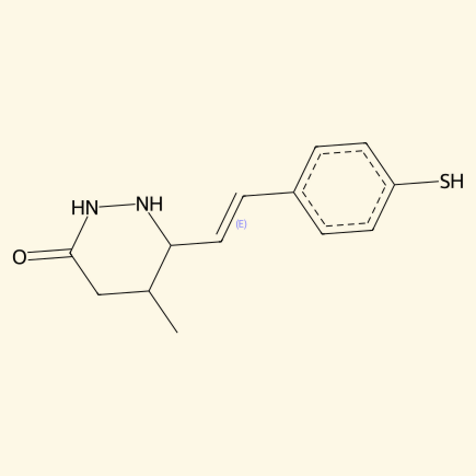 CC1CC(=O)NNC1/C=C/c1ccc(S)cc1